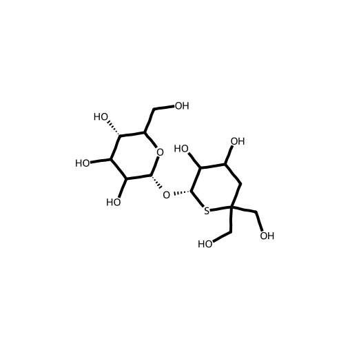 OCC1O[C@H](O[C@H]2SC(CO)(CO)CC(O)C2O)C(O)C(O)[C@@H]1O